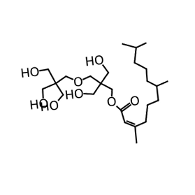 CC(=CC(=O)OCC(CO)(CO)COCC(CO)(CO)CO)CCCC(C)CCCC(C)C